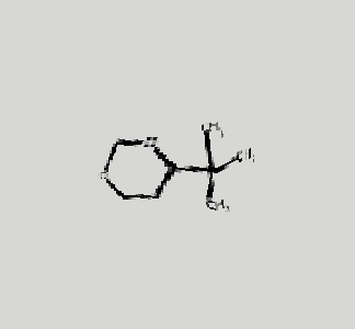 CC(C)(C)C1CCOCO1